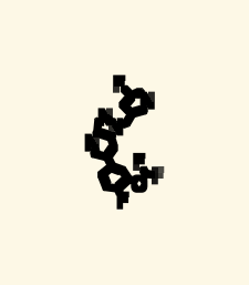 Fc1cncc(Cn2ncc3ncc(-c4ccc(F)c(OC(F)F)c4)cc32)c1